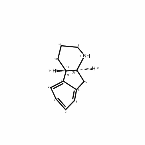 c1ccc2c(c1)C[C@@H]1NCCC[C@@H]21